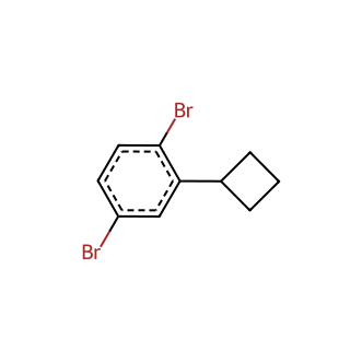 Brc1ccc(Br)c(C2CCC2)c1